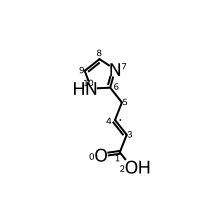 O=C(O)/C=[C]/Cc1ncc[nH]1